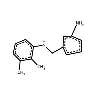 Cc1cccc(NCc2cccc(N)c2)c1C